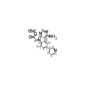 Cc1cc(-c2cccnc2)cc2c3c(N)ncnc3n(CC(=O)OC(C)(C)C)c12